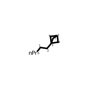 [CH2]CCCCC12CC(C1)C2